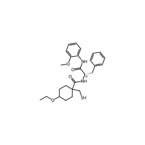 CCOC1CCC(CS)(C(=O)N[C@@H](Cc2ccccc2)C(=O)Nc2ccccc2OC)CC1